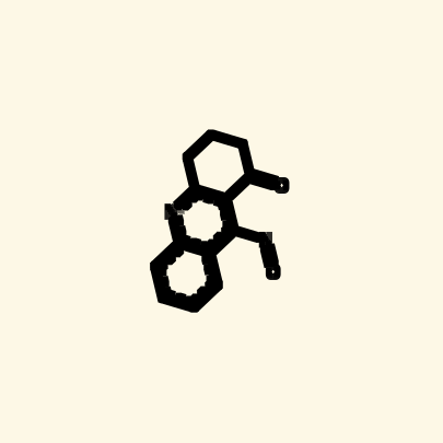 O=Nc1c2c(nc3ccccc13)CCCC2=O